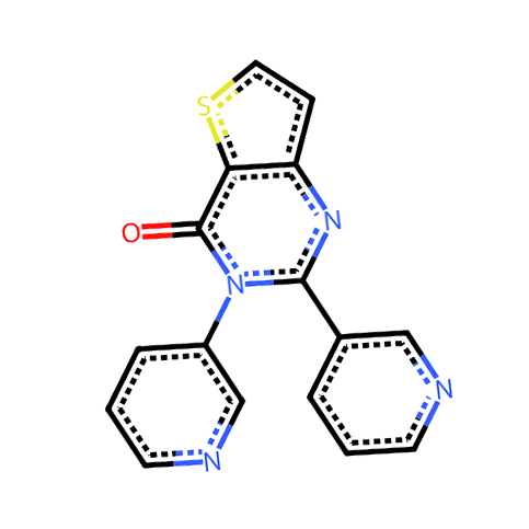 O=c1c2sccc2nc(-c2cccnc2)n1-c1cccnc1